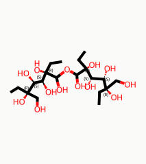 CC[C@@](O)(CO)[C@@H](O)[C@H](O)[C@](O)(CC)C(O)OC(O)[C@@](O)(CC)[C@@H](O)[C@H](O)[C@@](O)(CC)CO